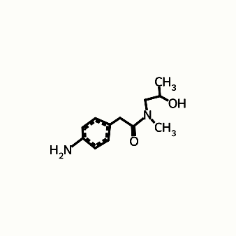 CC(O)CN(C)C(=O)Cc1ccc(N)cc1